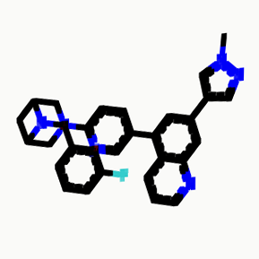 Cn1cc(-c2cc(-c3ccc(N4CC5CC(C4)N5Cc4cccc(F)c4)nc3)c3cccnc3c2)cn1